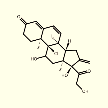 C=C1C[C@H]2[C@@H]3C=CC4=CC(=O)CC[C@]4(C)[C@@]3(Cl)C(O)C[C@]2(C)[C@@]1(O)C(=O)CO